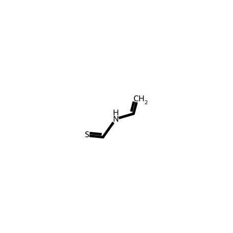 C=CNC=S